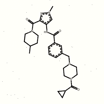 CC1CCN(C(=O)c2nn(C)cc2NC(=O)c2cccc(CN3CCN(C(=O)C4CC4)CC3)c2)CC1